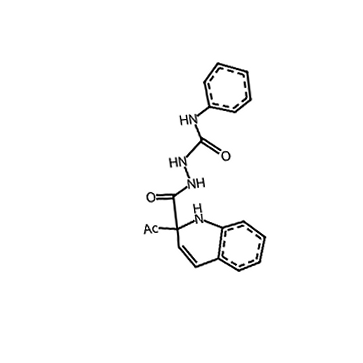 CC(=O)C1(C(=O)NNC(=O)Nc2ccccc2)C=Cc2ccccc2N1